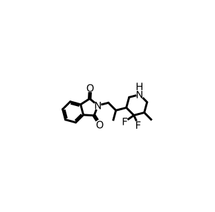 CC(CN1C(=O)c2ccccc2C1=O)C1CNCC(C)C1(F)F